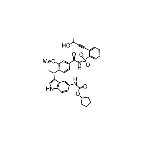 COc1cc(C(=O)NS(=O)(=O)c2ccccc2C#CC(C)O)ccc1C(C)c1c[nH]c2ccc(NC(=O)OC3CCCC3)cc12